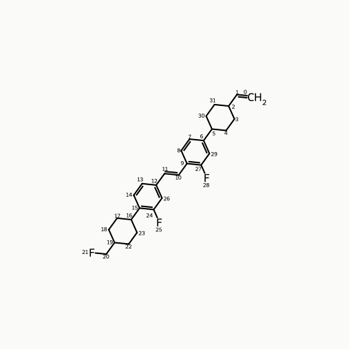 C=CC1CCC(c2ccc(/C=C/c3ccc(C4CCC(CF)CC4)c(F)c3)c(F)c2)CC1